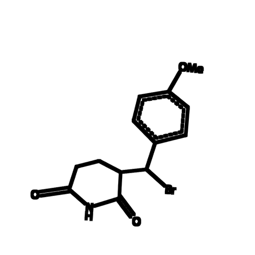 COc1ccc(C(Br)C2CCC(=O)NC2=O)cc1